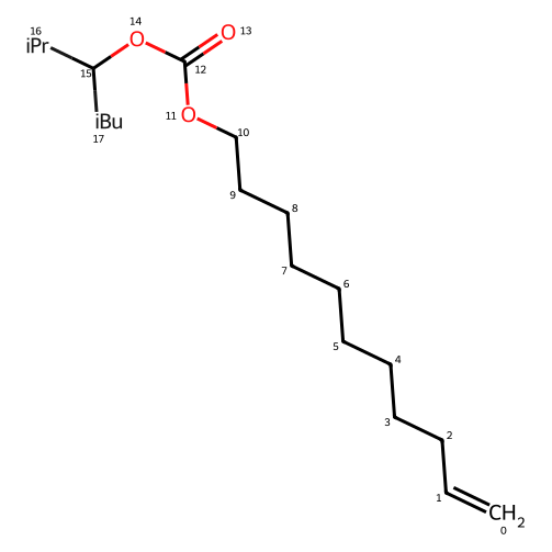 C=CCCCCCCCCCOC(=O)OC(C(C)C)C(C)CC